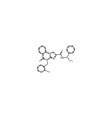 C[C@@H](NC(=O)c1cn2c3ccccc3c(=O)n(Cc3ccccc3Cl)c2n1)c1ccccc1